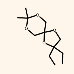 CCC1(CC)COC2(COC(C)(C)OC2)O1